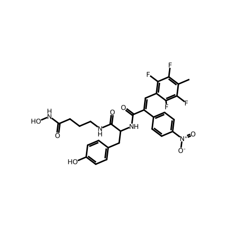 Cc1c(F)c(F)c(C=C(C(=O)NC(Cc2ccc(O)cc2)C(=O)NCCCC(=O)NO)c2ccc([N+](=O)[O-])cc2)c(F)c1F